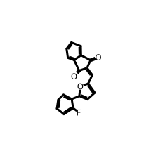 O=C1C(=Cc2ccc(-c3ccccc3F)o2)C(=O)c2ccccc21